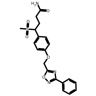 CS(=O)(=O)C(CCC(N)=O)c1ccc(OCc2nc(-c3ccccc3)no2)cc1